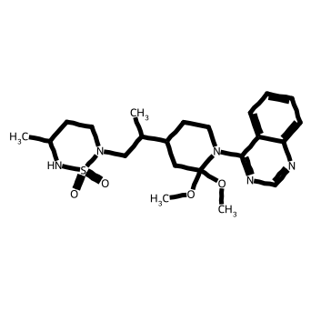 COC1(OC)CC(C(C)CN2CCC(C)NS2(=O)=O)CCN1c1ncnc2ccccc12